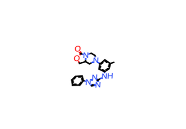 Cc1cc(Nc2ncn(-c3ccccc3)n2)cc(N2CCN3C(=O)OCC3C2)c1